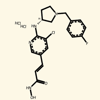 Cl.Cl.O=C(C=Cc1cnc(N[C@@H]2CCN(Cc3ccc(F)cc3)C2)c(Cl)c1)NO